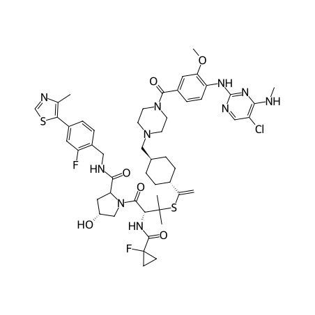 C=C(SC(C)(C)[C@H](NC(=O)C1(F)CC1)C(=O)N1C[C@H](O)CC1C(=O)NCc1ccc(-c2scnc2C)cc1F)[C@H]1CC[C@H](CN2CCN(C(=O)c3ccc(Nc4ncc(Cl)c(NC)n4)c(OC)c3)CC2)CC1